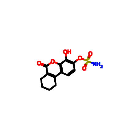 NS(=O)(=O)Oc1ccc2c3c(c(=O)oc2c1O)CCCC3